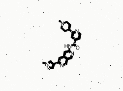 CN1CC=C(c2cc(C(=O)Nc3cc4cc(-c5cnn(C)c5)ncc4cn3)ccn2)CC1